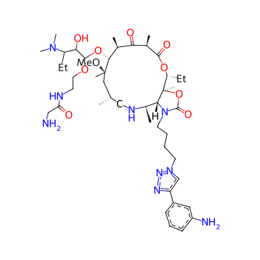 CCC(C(O)[C@@H](OCCNC(=O)CN)O[C@@H]1[C@@H](C)C(=O)[C@@H](C)C(=O)O[C@H](CC)[C@@]2(C)OC(=O)N(CCCCn3cc(-c4cccc(N)c4)nn3)[C@@H]2[C@@H](C)NC[C@H](C)C[C@@]1(C)OC)N(C)C